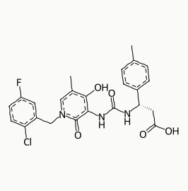 Cc1ccc([C@H](CC(=O)O)NC(=O)Nc2c(O)c(C)cn(Cc3cc(F)ccc3Cl)c2=O)cc1